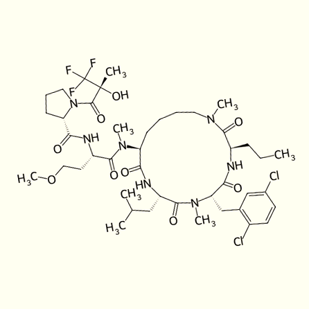 CCC[C@H]1NC(=O)[C@H](Cc2cc(Cl)ccc2Cl)N(C)C(=O)[C@H](CC(C)C)NC(=O)[C@@H](N(C)C(=O)[C@H](CCOC)NC(=O)[C@@H]2CCCN2C(=O)[C@@](C)(O)C(F)(F)F)CCCCN(C)C1=O